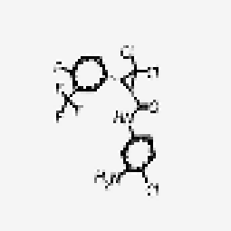 Nc1cc(NC(=O)[C@H]2[C@H](c3ccc(F)c(C(F)(F)F)c3)C2(Cl)Cl)ccc1Cl